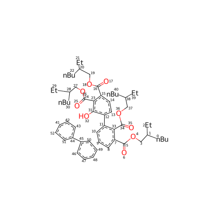 CCCCC(CC)COC(=O)c1cccc(-c2ccc(C(=O)OCC(CC)CCCC)c(C(=O)OCC(CC)CCCC)c2O)c1C(=O)OCC(CC)CCCC.c1ccc(-c2ccccc2)cc1